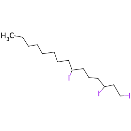 CCCCCCCCC(I)CCCC(I)CCI